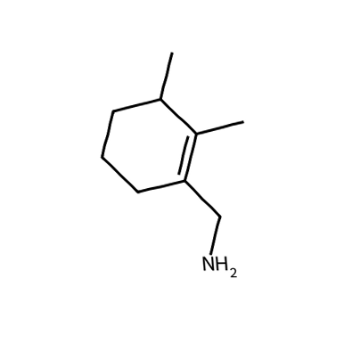 CC1=C(CN)CCCC1C